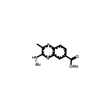 CC[C@@H](C)Nc1nc2cc(C(=O)OC)ccc2nc1C